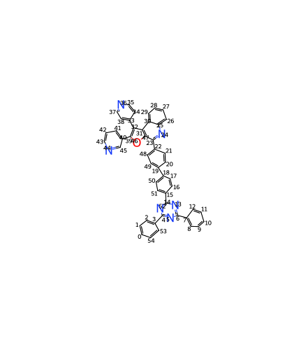 c1ccc(-c2nc(-c3ccccc3)nc(-c3ccc(-c4ccc(-c5nc6ccccc6c6c(-c7ccncc7)c(-c7cccnc7)oc56)cc4)cc3)n2)cc1